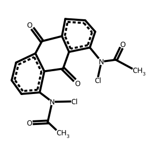 CC(=O)N(Cl)c1cccc2c1C(=O)c1c(cccc1N(Cl)C(C)=O)C2=O